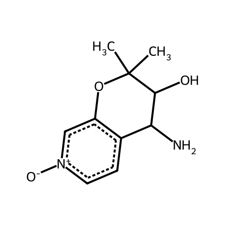 CC1(C)Oc2c[n+]([O-])ccc2C(N)C1O